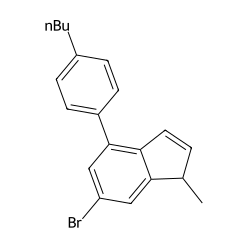 CCCCc1ccc(-c2cc(Br)cc3c2C=CC3C)cc1